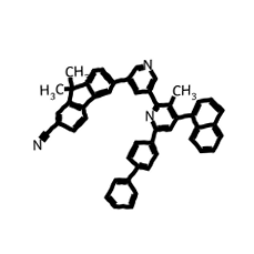 Cc1c(-c2cccc3ccccc23)cc(-c2ccc(-c3ccccc3)cc2)nc1-c1cncc(-c2ccc3c(c2)-c2ccc(C#N)cc2C3(C)C)c1